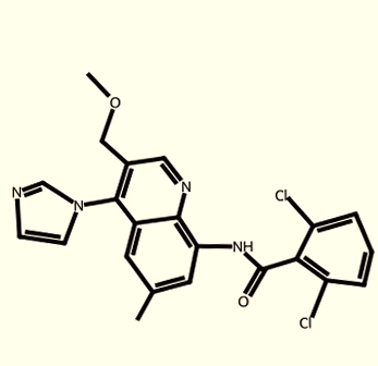 COCc1cnc2c(NC(=O)c3c(Cl)cccc3Cl)cc(C)cc2c1-n1ccnc1